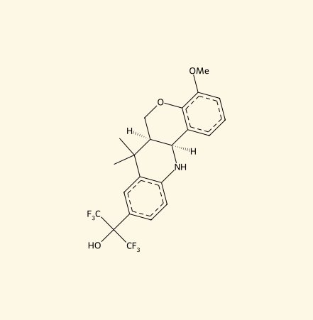 COc1cccc2c1OC[C@H]1[C@@H]2Nc2ccc(C(O)(C(F)(F)F)C(F)(F)F)cc2C1(C)C